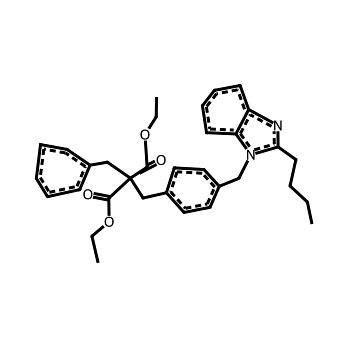 CCCCc1nc2ccccc2n1Cc1ccc(CC(Cc2ccccc2)(C(=O)OCC)C(=O)OCC)cc1